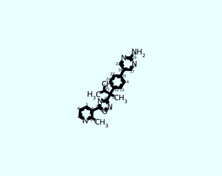 Cc1ncccc1-c1nc(C(C)(c2ccc(-c3cnc(N)nc3)cc2)C(C)C)no1